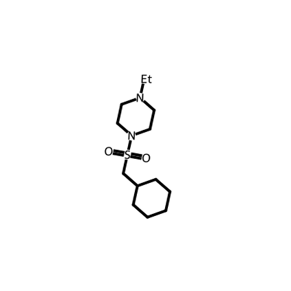 CCN1CCN(S(=O)(=O)CC2CCCCC2)CC1